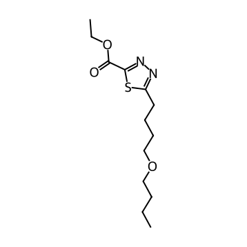 CCCCOCCCCc1nnc(C(=O)OCC)s1